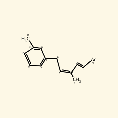 CC(=O)C=CC(C)=CCc1cccc(C)c1